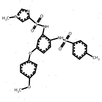 COc1ccc(Oc2ccc(NS(=O)(=O)c3ccc(C)cc3)c(NS(=O)(=O)c3cn(C)cn3)c2)cc1